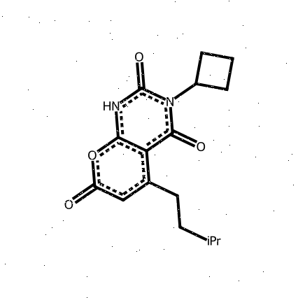 CC(C)CCc1cc(=O)oc2[nH]c(=O)n(C3CCC3)c(=O)c12